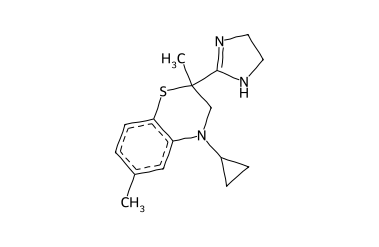 Cc1ccc2c(c1)N(C1CC1)CC(C)(C1=NCCN1)S2